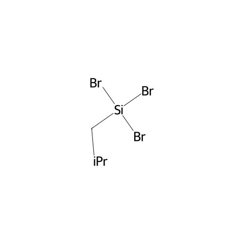 CC(C)C[Si](Br)(Br)Br